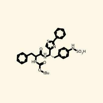 CC(C)(C)OC(=O)NC(Cc1ccccc1)C(=O)N[C@@H](Cc1ccc(NS(=O)(=O)O)cc1)c1csc(-c2ccccc2)n1